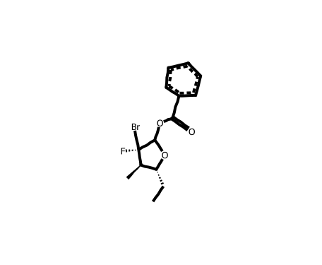 CC[C@H]1OC(OC(=O)c2ccccc2)[C@](F)(Br)[C@@H]1C